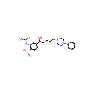 CC(=O)Nc1cc(C(O)CCCCN2CCN(c3ccccc3)CC2)ccc1[S+](C)[O-]